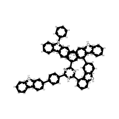 c1ccc(-c2nc(-c3ccc(-c4ccc5c(c4)oc4ccccc45)cc3)nc(-c3cccc4oc5ccc(-c6cc(-c7ccc8c9ccccc9n(-c9ccccc9)c8c7)cc7oc8ccccc8c67)cc5c34)n2)cc1